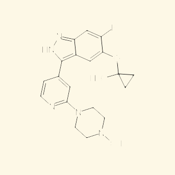 CN1CCN(c2cc(-c3[nH]nc4cc(F)c(OC5(C)CC5)cc34)ccn2)CC1